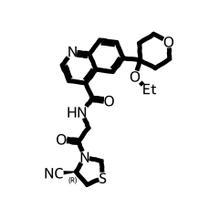 CCOC1(c2ccc3nccc(C(=O)NCC(=O)N4CSC[C@H]4C#N)c3c2)CCOCC1